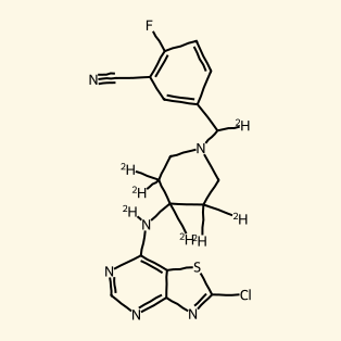 [2H]C(c1ccc(F)c(C#N)c1)N1CC([2H])([2H])C([2H])(N([2H])c2ncnc3nc(Cl)sc23)C([2H])([2H])C1